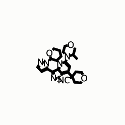 CC1COCCN1c1cc(C2(C#N)CCOCC2)c2snc(-c3ccnn3C3CCCCO3)c2n1